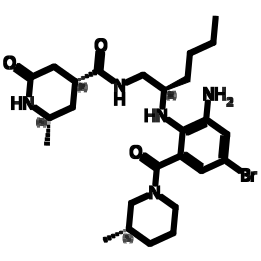 CCCC[C@H](CNC(=O)[C@H]1CC(=O)N[C@@H](C)C1)Nc1c(N)cc(Br)cc1C(=O)N1CCC[C@H](C)C1